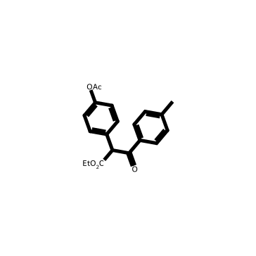 CCOC(=O)C(C(=O)c1ccc(C)cc1)c1ccc(OC(C)=O)cc1